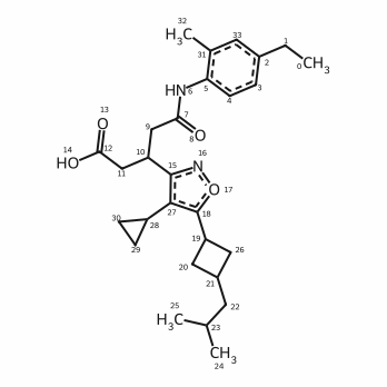 CCc1ccc(NC(=O)CC(CC(=O)O)c2noc(C3CC(CC(C)C)C3)c2C2CC2)c(C)c1